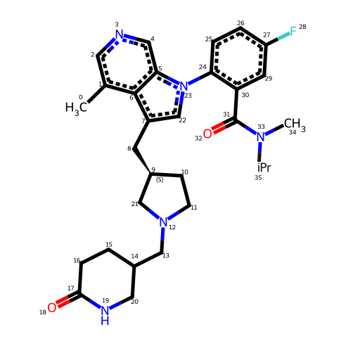 Cc1cncc2c1c(C[C@H]1CCN(CC3CCC(=O)NC3)C1)cn2-c1ccc(F)cc1C(=O)N(C)C(C)C